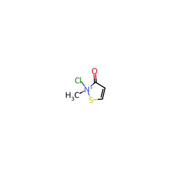 C[N+]1(Cl)SC=CC1=O